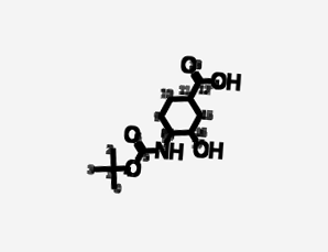 CC(C)(C)OC(=O)N[C@H]1CCC(C(=O)O)CC1O